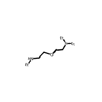 CCNCCOCCN(CC)CC